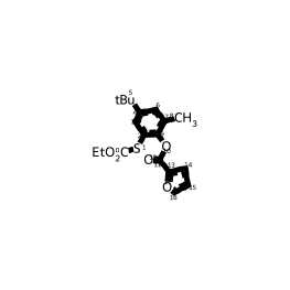 CCOC(=O)Sc1cc(C(C)(C)C)cc(C)c1OC(=O)c1ccco1